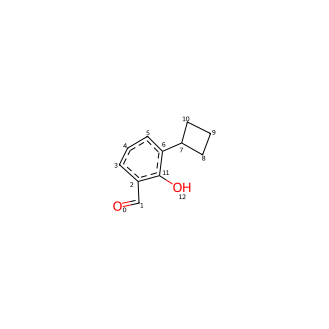 O=Cc1cccc(C2CCC2)c1O